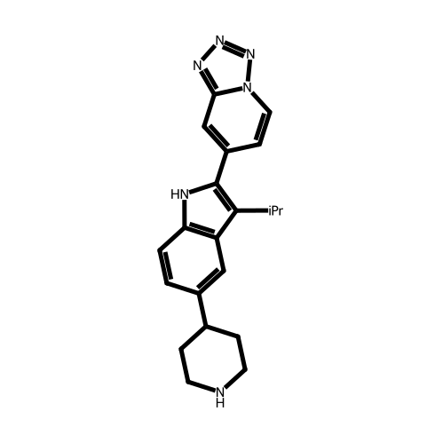 CC(C)c1c(-c2ccn3nnnc3c2)[nH]c2ccc(C3CCNCC3)cc12